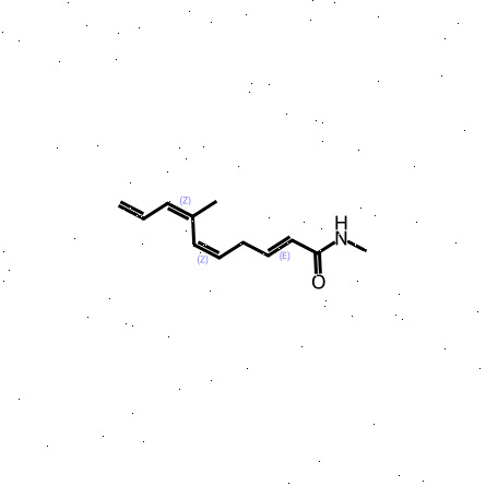 C=C/C=C(C)\C=C/C/C=C/C(=O)NC